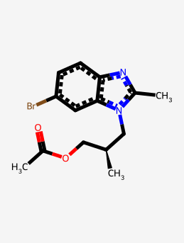 CC(=O)OC[C@H](C)Cn1c(C)nc2ccc(Br)cc21